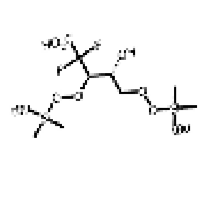 CC(C)(C)[Si](C)(C)OOC[C@@H](O)[C@@H](OO[Si](C)(C)C(C)(C)C)C(F)(F)C(=O)O